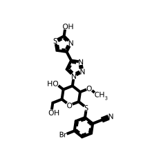 COC1C(Sc2cc(Br)ccc2C#N)OC(CO)C(O)C1n1cc(-c2csc(O)n2)nn1